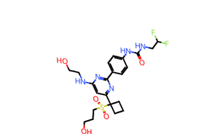 O=C(NCC(F)F)Nc1ccc(-c2nc(NCCO)cc(C3(S(=O)(=O)CCCO)CCC3)n2)cc1